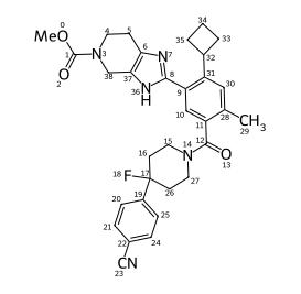 COC(=O)N1CCc2nc(-c3cc(C(=O)N4CCC(F)(c5ccc(C#N)cc5)CC4)c(C)cc3C3CCC3)[nH]c2C1